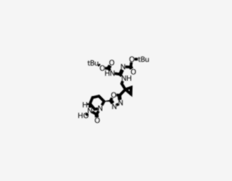 CC(C)(C)OC(=O)/N=C(\NCC1(c2nnc([C@@H]3CC[C@@H]4CN3C(=O)N4O)o2)CC1)NC(=O)OC(C)(C)C